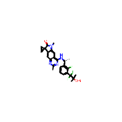 Cc1nc(N[C@H](C)c2cccc(C(F)(F)C(C)(C)O)c2F)c2cc3c(cc2n1)C1(CC1)C(=O)N3C